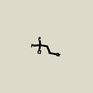 FC(F)(Cl)C[CH]Br